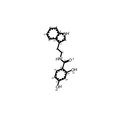 O=C(NCCc1c[nH]c2ccccc12)c1ccc(O)cc1O